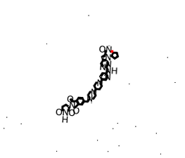 CN(C)C(=O)c1cc2cnc(Nc3ccc(N4CCC(N5CCN(Cc6ccc7c(c6)C(=O)N(C6CCC(=O)NC6=O)C7=O)CC5)CC4)cn3)nc2n1C1CCCC1